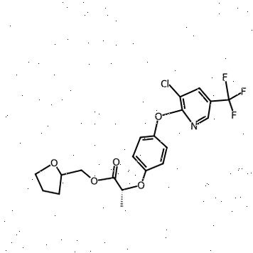 C[C@@H](Oc1ccc(Oc2ncc(C(F)(F)F)cc2Cl)cc1)C(=O)OCC1CCCO1